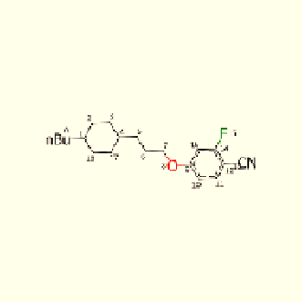 CCCCC1CCC(CCCOc2ccc(C#N)c(F)c2)CC1